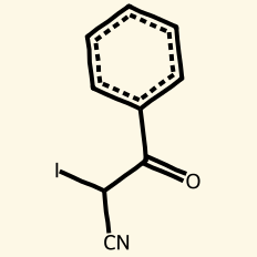 N#CC(I)C(=O)c1ccccc1